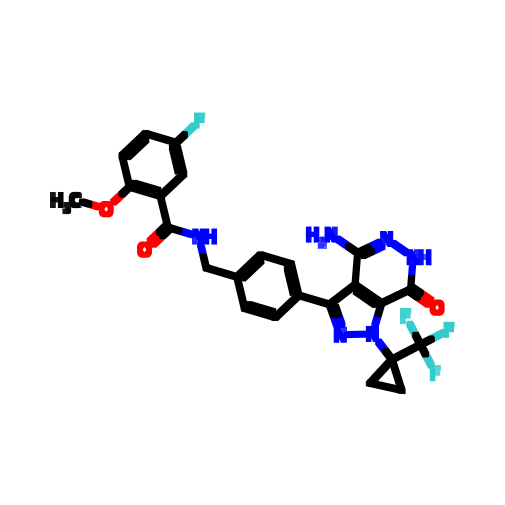 COc1ccc(F)cc1C(=O)NCc1ccc(-c2nn(C3(C(F)(F)F)CC3)c3c(=O)[nH]nc(N)c23)cc1